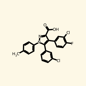 Cc1ccc(-n2nc(C(=O)O)c(-c3ccc(F)c(Cl)c3)c2-c2cccc(Cl)c2)cc1